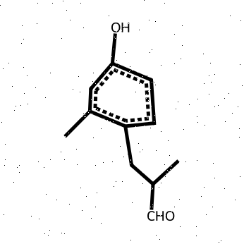 Cc1cc(O)ccc1CC(C)C=O